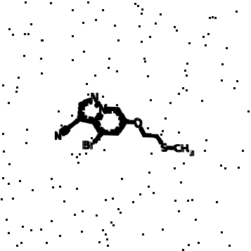 CSCCOc1cc(Br)c2c(C#N)cnn2c1